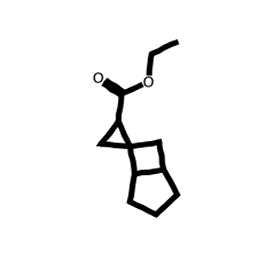 CCOC(=O)C1CC12CC1CCCC12